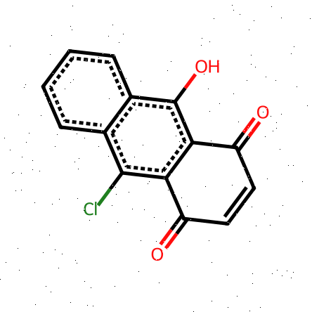 O=C1C=CC(=O)c2c1c(O)c1ccccc1c2Cl